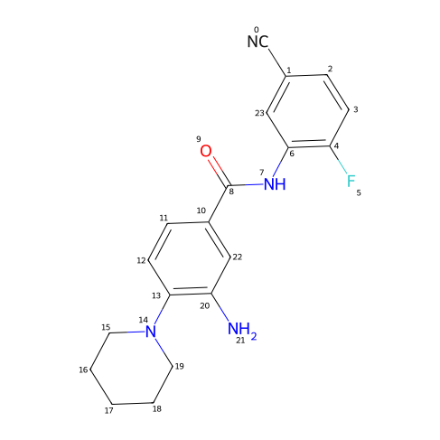 N#Cc1ccc(F)c(NC(=O)c2ccc(N3CCCCC3)c(N)c2)c1